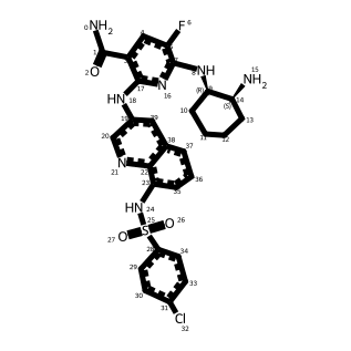 NC(=O)c1cc(F)c(N[C@@H]2CCCC[C@@H]2N)nc1Nc1cnc2c(NS(=O)(=O)c3ccc(Cl)cc3)cccc2c1